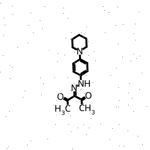 CC(=O)C(=NNc1ccc(N2CCCCC2)cc1)C(C)=O